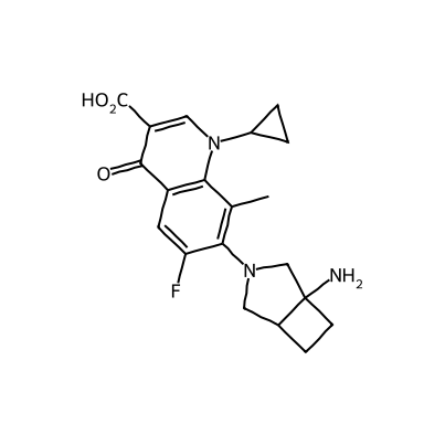 Cc1c(N2CC3CCC3(N)C2)c(F)cc2c(=O)c(C(=O)O)cn(C3CC3)c12